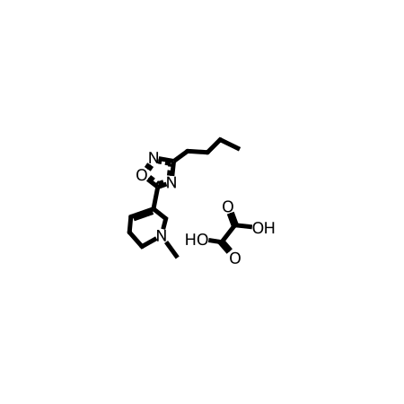 CCCCc1noc(C2=CCCN(C)C2)n1.O=C(O)C(=O)O